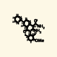 COc1ccc(C)c(-n2c(N)c(C(N)=O)c3ncc(-c4ncccn4)cc3c2=O)c1C